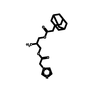 [CH2]C(COC(=O)Cn1ccnc1)COC(=O)CC12CC3CC(CC(C3)C1)C2